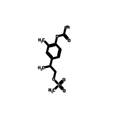 CCCC(=O)Oc1ccc(C(C)COS(C)(=O)=O)cc1C